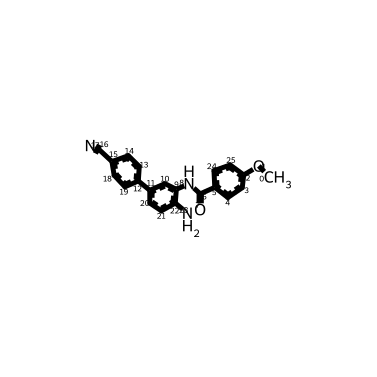 COc1ccc(C(=O)Nc2cc(-c3ccc(C#N)cc3)ccc2N)cc1